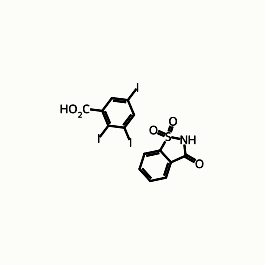 O=C(O)c1cc(I)cc(I)c1I.O=C1NS(=O)(=O)c2ccccc21